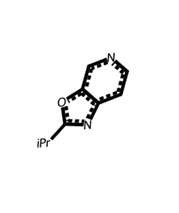 CC(C)c1nc2ccncc2o1